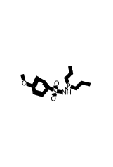 CCCP(CCC)NS(=O)(=O)c1ccc(OC)cc1